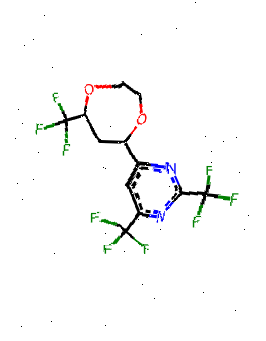 FC(F)(F)c1cc(C2CC(C(F)(F)F)OCCO2)nc(C(F)(F)F)n1